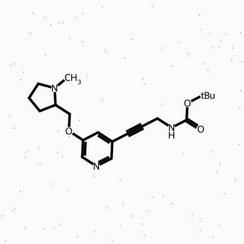 CN1CCCC1COc1cncc(C#CCNC(=O)OC(C)(C)C)c1